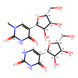 Cn1cc([C@@H]2O[C@H](CO)[C@@H](O)[C@H]2O)c(=O)[nH]c1=O.O=c1[nH]cc([C@@H]2O[C@H](CO)[C@@H](O)[C@H]2O)c(=O)[nH]1